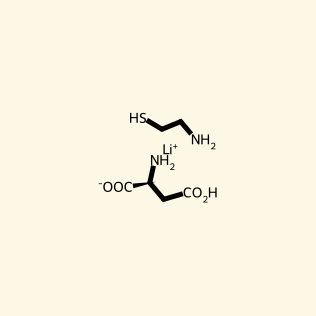 NCCS.N[C@@H](CC(=O)O)C(=O)[O-].[Li+]